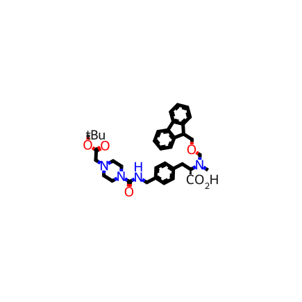 CN(COCC1c2ccccc2-c2ccccc21)[C@H](Cc1ccc(CNC(=O)N2CCN(CC(=O)OC(C)(C)C)CC2)cc1)C(=O)O